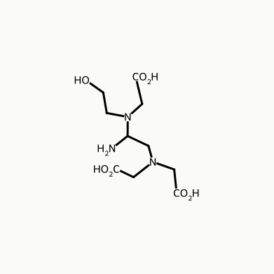 NC(CN(CC(=O)O)CC(=O)O)N(CCO)CC(=O)O